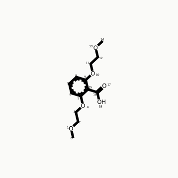 COCCOc1cccc(OCCOC)c1C(=O)O